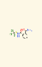 NC(=O)C1CCC=CC1C(=O)NSC(Cl)(Cl)Cl